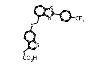 O=C(O)Cc1csc2cc(SCc3cccc4sc(-c5ccc(C(F)(F)F)cc5)nc34)ccc12